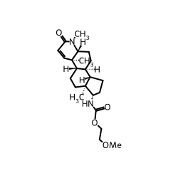 COCCOC(=O)N[C@H]1CC[C@H]2[C@@H]3CC[C@H]4N(C)C(=O)C=C[C@]4(C)[C@H]3CC[C@]12C